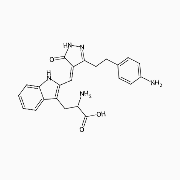 Nc1ccc(CCC2=NNC(=O)/C2=C\c2[nH]c3ccccc3c2CC(N)C(=O)O)cc1